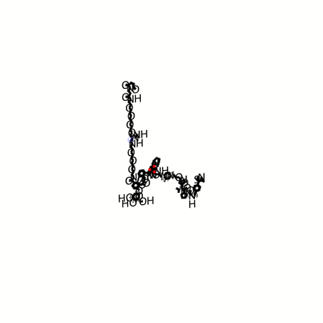 Cc1ncsc1-c1ccc([C@H](C)NC(=O)[C@@H]2CCCN2C(=O)[C@@H](c2cc(OCCN3CCN(CCOc4cc(N5C6CCC5CN(c5cc(-c7ccccc7OS(=O)(=O)Oc7cc(C(=O)NCCOCCOCCOCCN/C=C(/COCCOCCOCCOCCNC(=O)CCN8C(=O)C=CC8=O)N=N)ccc7O[C@H]7C[C@@H](O)[C@@H](O)[C@@H](CO)O7)nnc5N)C6)ccn4)[C@H](C)C3)no2)C(C)C)cc1